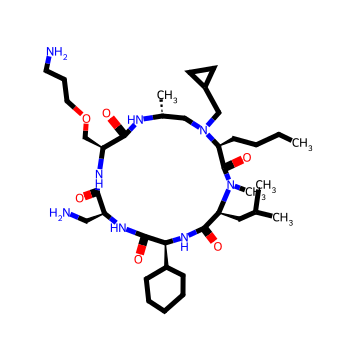 CCCC[C@H]1C(=O)N(C)[C@@H](CC(C)C)C(=O)N[C@@H](C2CCCCC2)C(=O)N[C@@H](CN)C(=O)N[C@@H](COCCCN)C(=O)N[C@H](C)CN1CC1CC1